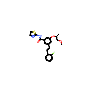 COC[C@H](C)Oc1cc(C=Cc2ccccc2F)cc(C(=O)Nc2nccs2)c1